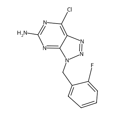 Nc1nc(Cl)c2nnn(Cc3ccccc3F)c2n1